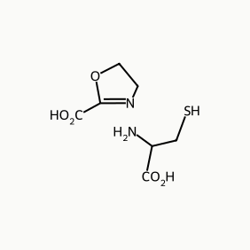 NC(CS)C(=O)O.O=C(O)C1=NCCO1